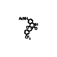 CC(=O)Nc1ccc2[nH]c(=O)n(Cc3cccc(C(F)(F)F)c3)c(=O)c2c1